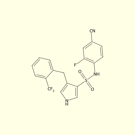 N#Cc1ccc(NS(=O)(=O)c2c[nH]cc2Cc2ccccc2C(F)(F)F)c(F)c1